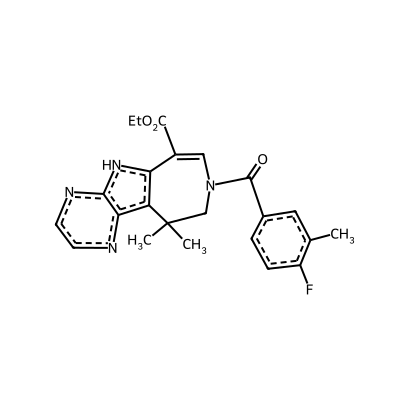 CCOC(=O)C1=CN(C(=O)c2ccc(F)c(C)c2)CC(C)(C)c2c1[nH]c1nccnc21